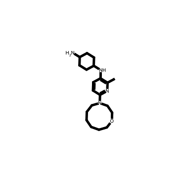 Cc1nc(N2CCCCCCOCC2)ccc1NC1CCC(N)CC1